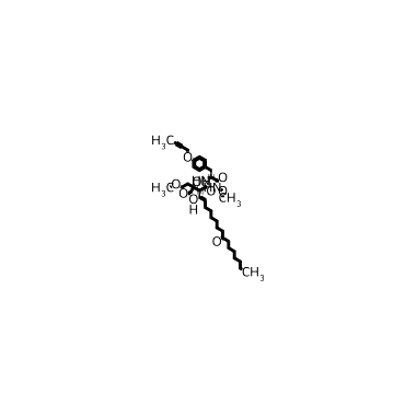 CC#CCOc1ccc(C[C@H](NC(=O)[C@@H](C=CCCCCCCC(=O)CCCCCCC)[C@@](O)(CCOC)C(=O)O)C(=O)NOC)cc1